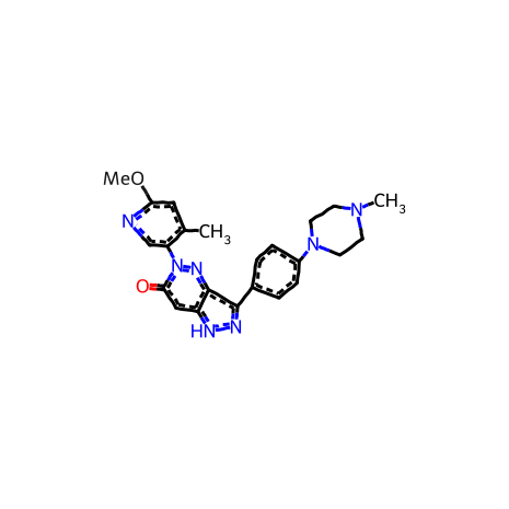 COc1cc(C)c(-n2nc3c(-c4ccc(N5CCN(C)CC5)cc4)n[nH]c3cc2=O)cn1